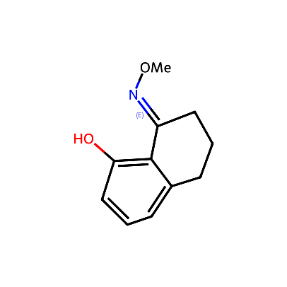 CO/N=C1\CCCc2cccc(O)c21